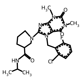 CC(C)NC(=O)C1CCCN(c2nc3c(c(=O)n(C)c(=O)n3C)n2Cc2c(F)cccc2Cl)C1